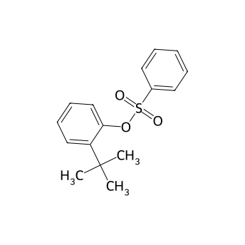 CC(C)(C)c1ccccc1OS(=O)(=O)c1ccccc1